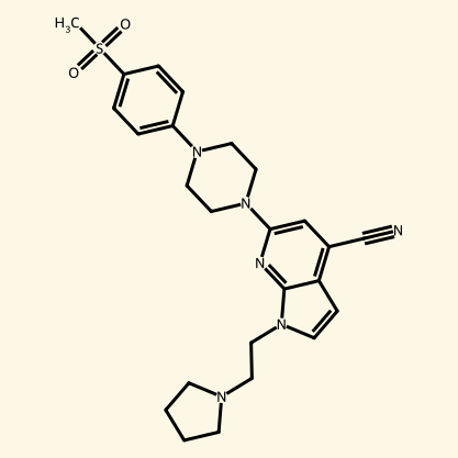 CS(=O)(=O)c1ccc(N2CCN(c3cc(C#N)c4ccn(CCN5CCCC5)c4n3)CC2)cc1